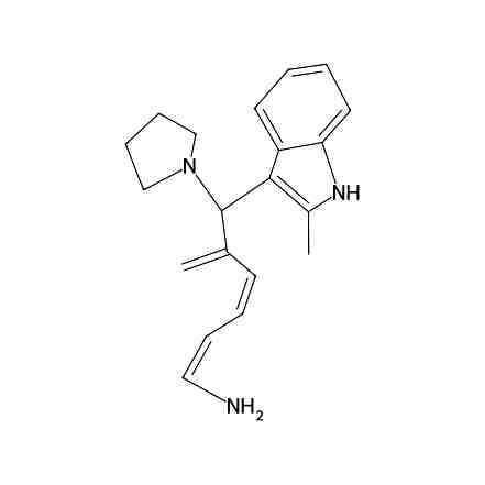 C=C(/C=C\C=C/N)C(c1c(C)[nH]c2ccccc12)N1CCCC1